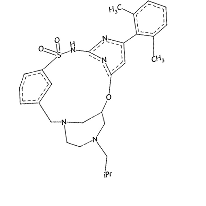 Cc1cccc(C)c1-c1cc2nc(n1)NS(=O)(=O)c1cccc(c1)CN1CCN(CC(C)C)CC(C1)O2